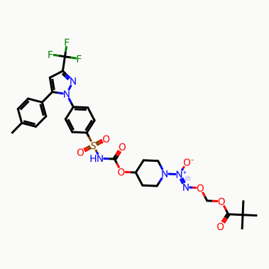 Cc1ccc(-c2cc(C(F)(F)F)nn2-c2ccc(S(=O)(=O)NC(=O)OC3CCN(/[N+]([O-])=N/OCOC(=O)C(C)(C)C)CC3)cc2)cc1